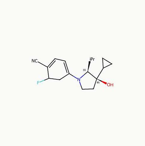 CC(C)[C@@H]1N(C2=CC=C(C#N)C(F)C2)CC[C@@]1(O)C1CC1